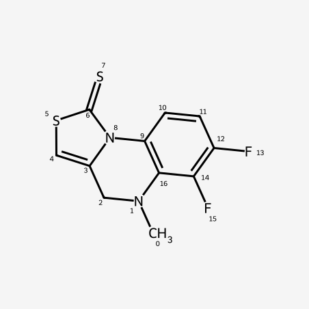 CN1Cc2csc(=S)n2-c2ccc(F)c(F)c21